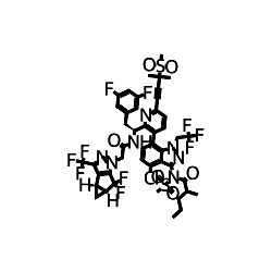 CCCC(C)C(=O)N(c1nn(CC(F)(F)F)c2c(-c3ccc(C#CC(C)(C)S(C)(=O)=O)nc3[C@H](Cc3cc(F)cc(F)c3)NC(=O)Cn3nc(C(F)(F)F)c4c3C(F)(F)[C@@H]3C[C@H]43)ccc(Cl)c12)S(C)(=O)=O